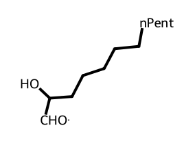 CCCCCCCCCCC(O)[C]=O